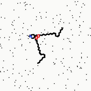 CCCCC/C=C\C/C=C\CCCCCCCCOCC1(OCCCCCCCC/C=C\C/C=C\CCCCC)CCN(C)CC1